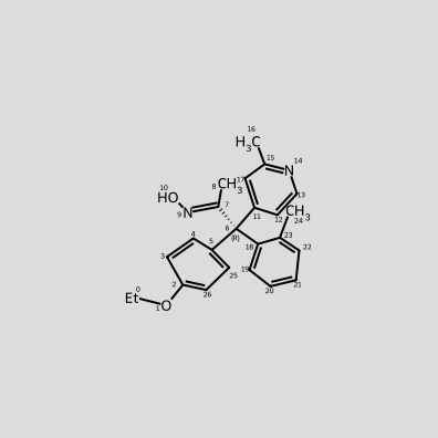 CCOc1ccc([C@@](C(C)=NO)(c2ccnc(C)c2)c2ccccc2C)cc1